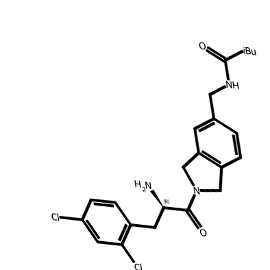 CCC(C)C(=O)NCc1ccc2c(c1)CN(C(=O)[C@H](N)Cc1ccc(Cl)cc1Cl)C2